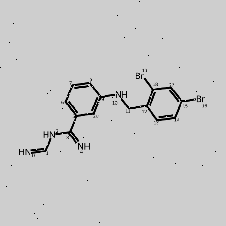 N=CNC(=N)c1cccc(NCc2ccc(Br)cc2Br)c1